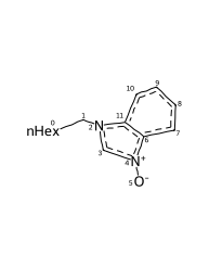 CCCCCCCn1c[n+]([O-])c2ccccc21